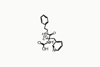 CC(Cc1cccnc1)(NC(=O)O)C(=O)NCCc1ccccc1